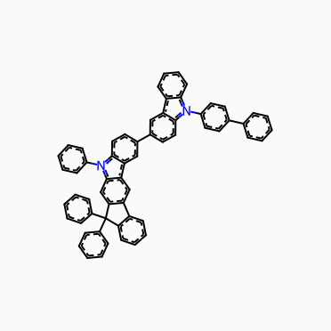 c1ccc(-c2ccc(-n3c4ccccc4c4cc(-c5ccc6c(c5)c5cc7c(cc5n6-c5ccccc5)C(c5ccccc5)(c5ccccc5)c5ccccc5-7)ccc43)cc2)cc1